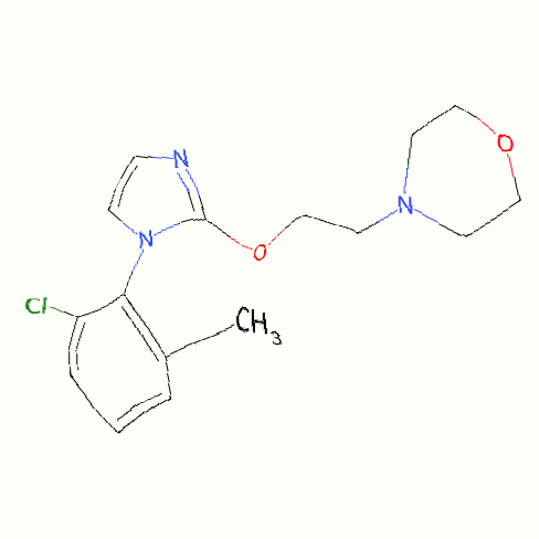 Cc1cccc(Cl)c1-n1ccnc1OCCN1CCOCC1